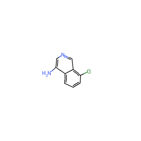 Nc1cncc2c(Cl)cccc12